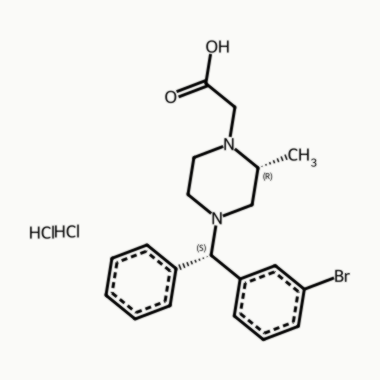 C[C@@H]1CN([C@@H](c2ccccc2)c2cccc(Br)c2)CCN1CC(=O)O.Cl.Cl